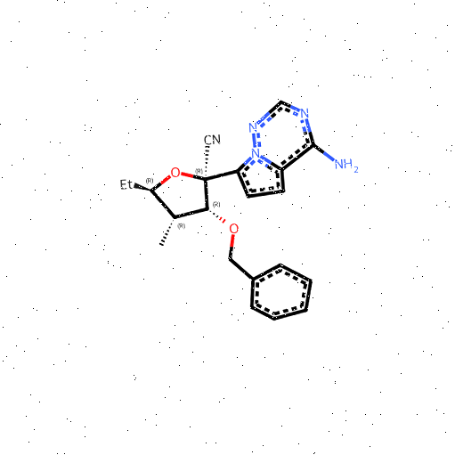 CC[C@H]1O[C@@](C#N)(c2ccc3c(N)ncnn23)[C@H](OCc2ccccc2)[C@@H]1C